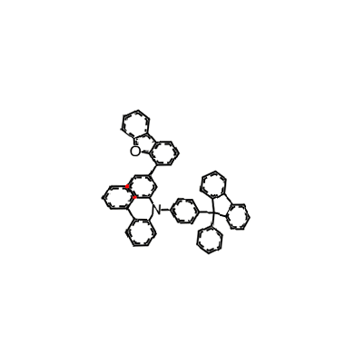 c1ccc(-c2ccccc2N(c2ccc(C3(c4ccccc4)c4ccccc4-c4ccccc43)cc2)c2cccc(-c3cccc4c3oc3ccccc34)c2)cc1